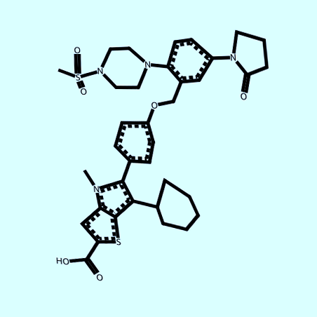 Cn1c(-c2ccc(OCc3cc(N4CCCC4=O)ccc3N3CCN(S(C)(=O)=O)CC3)cc2)c(C2CCCCC2)c2sc(C(=O)O)cc21